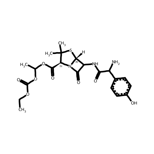 CCOC(=O)OC(C)OC(=O)[C@@H]1N2C(=O)C(NC(=O)C(N)c3ccc(O)cc3)[C@H]2SC1(C)C